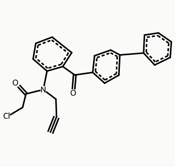 C#CCN(C(=O)CCl)c1ccccc1C(=O)c1ccc(-c2ccccc2)cc1